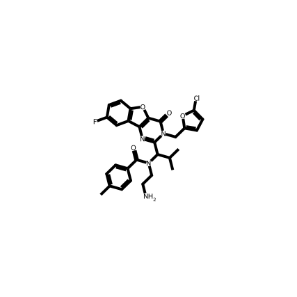 Cc1ccc(C(=O)N(CCN)C(c2nc3c(oc4ccc(F)cc43)c(=O)n2Cc2ccc(Cl)o2)C(C)C)cc1